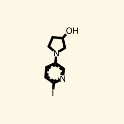 OC1CCN(c2ccc(I)nc2)C1